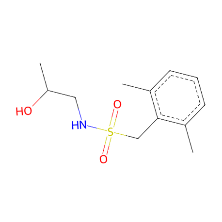 Cc1cccc(C)c1CS(=O)(=O)NCC(C)O